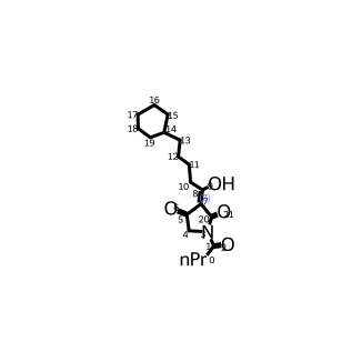 CCCC(=O)N1CC(=O)/C(=C(/O)CCCCC2CCCCC2)C1=O